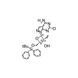 CC(C)(C)[Si](OC[C@H]1O[C@@H](n2ncc3c(N)nc(Cl)nc32)[C@@H](F)[C@@H]1O)(c1ccccc1)c1ccccc1